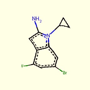 Nc1cc2c(F)cc(Br)cc2n1C1CC1